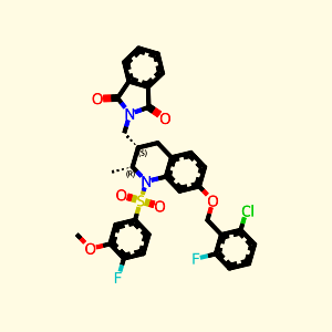 COc1cc(S(=O)(=O)N2c3cc(OCc4c(F)cccc4Cl)ccc3C[C@@H](CN3C(=O)c4ccccc4C3=O)[C@H]2C)ccc1F